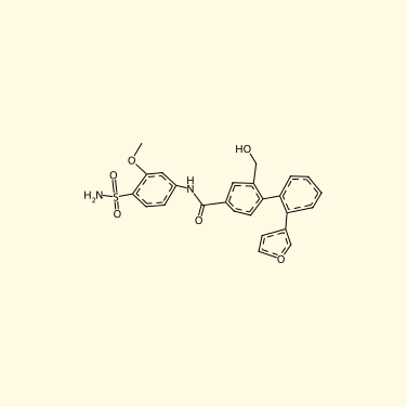 COc1cc(NC(=O)c2ccc(-c3ccccc3-c3ccoc3)c(CO)c2)ccc1S(N)(=O)=O